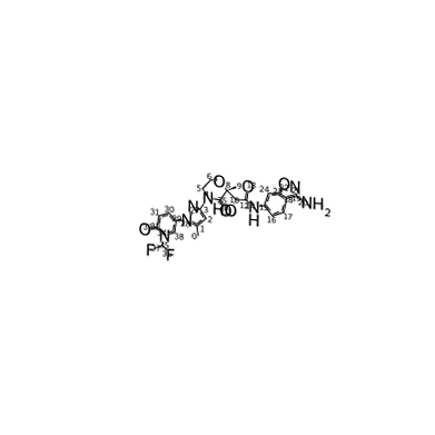 Cc1cc(N2CCO[C@](C)([C@@H](O)C(=O)Nc3ccc4c(N)noc4c3)C2=O)nn1-c1ccc(=O)n(C(F)F)c1